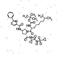 CC(C)CCCCC[C@H](NC(=O)OC(C)(C)C)C(=O)N1C[C@H](NC(=O)c2csc(-c3ccccc3)n2)C[C@H]1C(=O)NC1(C(=O)NS(=O)(=O)C2CC2)CC1